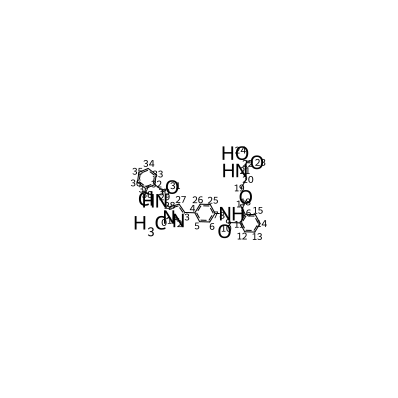 Cn1nc(-c2ccc(NC(=O)c3ccccc3COCCNC(=O)O)cc2)cc1NC(=O)c1ccccc1Cl